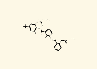 COC(=O)Cc1ccccc1C(=O)Nc1cccc(C(=O)N(CC(=O)OC)c2c(C)cc(C(F)(C(F)(F)F)C(F)(F)F)cc2C)c1F